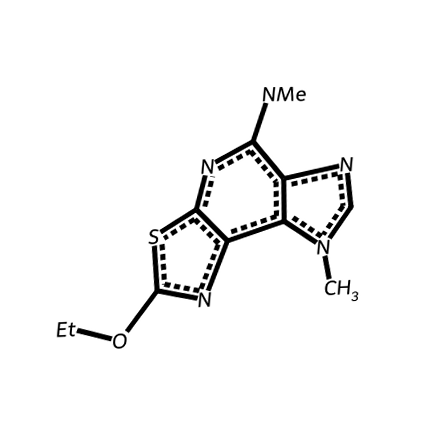 CCOc1nc2c(nc(NC)c3ncn(C)c32)s1